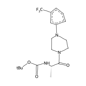 C[C@H](NC(=O)OC(C)(C)C)C(=O)N1CCN(c2cccc(C(F)(F)F)c2)CC1